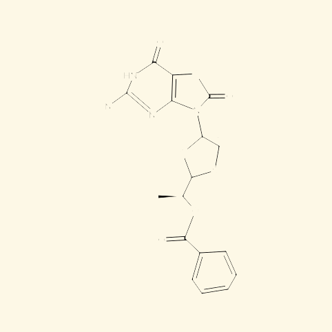 CC[C@H](OC(=O)c1ccccc1)C1OC(n2c(=O)sc3c(=O)[nH]c(N)nc32)[C@H](C)S1